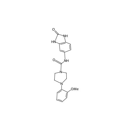 COc1ccccc1N1CCN(C(=O)Nc2ccc3[nH]c(=O)[nH]c3c2)CC1